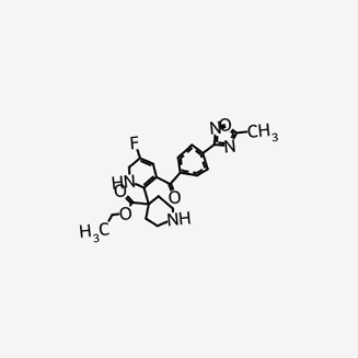 CCOC(=O)C1(C2=C(C(=O)c3ccc(-c4noc(C)n4)cc3)C=C(F)CN2)CCNCC1